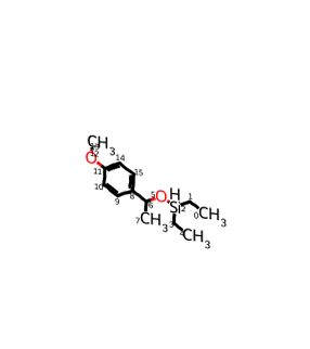 CC[SiH](CC)OC(C)c1ccc(OC)cc1